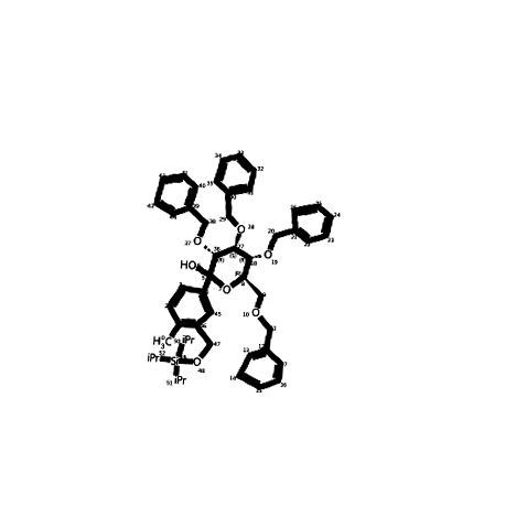 Cc1ccc(C2(O)O[C@H](COCc3ccccc3)[C@@H](OCc3ccccc3)[C@H](OCc3ccccc3)[C@H]2OCc2ccccc2)cc1CO[Si](C(C)C)(C(C)C)C(C)C